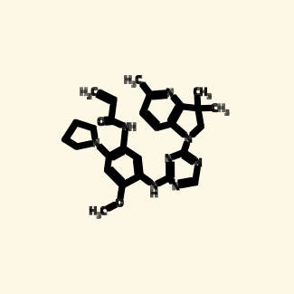 C=CC(=O)Nc1cc(Nc2ncnc(N3CC(C)(C)c4nc(C)ccc43)n2)c(OC)cc1N1CCCC1